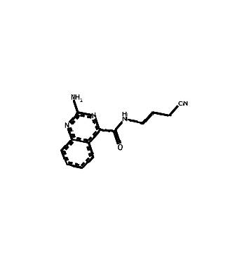 N#CCCCNC(=O)c1nc(N)nc2ccccc12